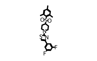 Cc1cc(C)c(S(=O)(=O)C2CCN(c3nc(-c4cc(F)cc(F)c4)cs3)CC2)c(C)c1